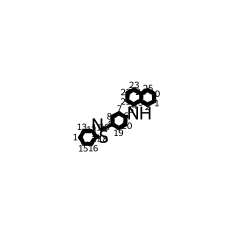 c1ccc2c(Nc3ccc(-c4nc5ccccc5s4)cc3)cccc2c1